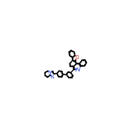 c1cc(-c2ccc(-c3cn4ccccc4n3)cc2)cc(-c2nc3ccccc3c3c2ccc2c4ccccc4oc23)c1